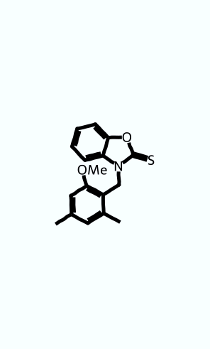 COc1cc(C)cc(C)c1Cn1c(=S)oc2ccccc21